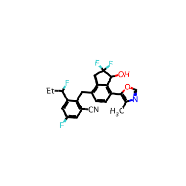 CCC(F)c1cc(F)cc(C#N)c1Cc1ccc(-c2ocnc2C)c2c1CC(F)(F)C2O